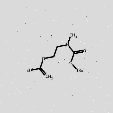 C=C(CC)OCCN(C)C(=O)OC(C)(C)C